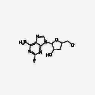 Nc1nc(F)nc2c1ncn2C1OC(C[O])CC1O